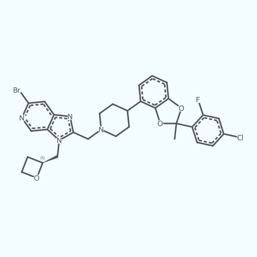 CC1(c2ccc(Cl)cc2F)Oc2cccc(C3CCN(Cc4nc5cc(Br)ncc5n4C[C@@H]4CCO4)CC3)c2O1